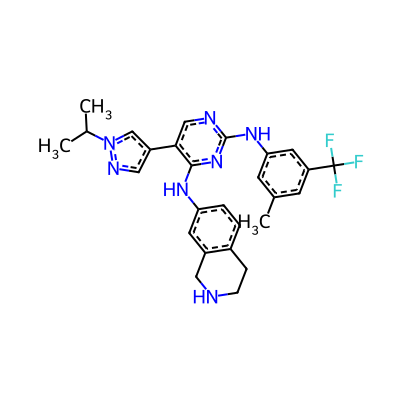 Cc1cc(Nc2ncc(-c3cnn(C(C)C)c3)c(Nc3ccc4c(c3)CNCC4)n2)cc(C(F)(F)F)c1